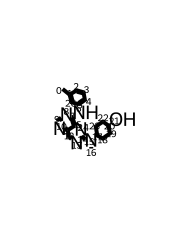 Cc1cccc(Nc2ncnc3cnc(N(C)[C@H]4CC[C@H](O)CC4)nc23)c1